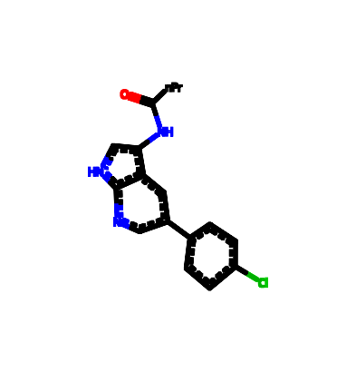 CCCC(=O)Nc1c[nH]c2ncc(-c3ccc(Cl)cc3)cc12